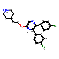 Clc1ccc(-c2ncc(OCCC3CCNCC3)nc2-c2ccc(Cl)cc2)cc1